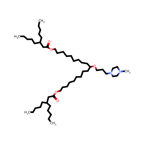 CCCCCC(CCCCC)CC(=O)OCCCCCCCCCC(CCCCCCCCCOC(=O)CC(CCCCC)CCCCC)OCCCN1CCN(C)CC1